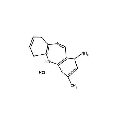 CC1=CC(N)C2=C(NC3=C(CC=CC3)N=C2)S1.Cl